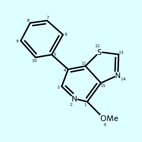 COc1ncc(-c2ccccc2)c2scnc12